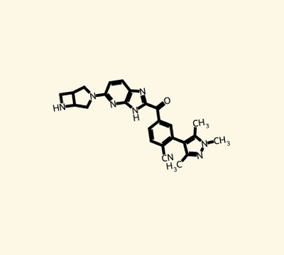 Cc1nn(C)c(C)c1-c1cc(C(=O)c2nc3ccc(N4CC5CNC5C4)nc3[nH]2)ccc1C#N